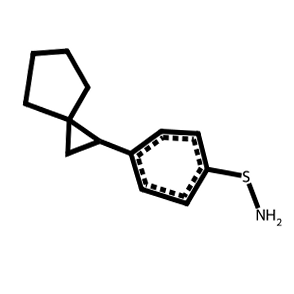 NSc1ccc(C2CC23CCCC3)cc1